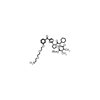 CC(C(=O)N[C@H](C(=O)N1CCC[C@H]1c1nc(C(=O)c2cccc(OCCOCCOCCN)c2)cs1)C1CCCCC1)N(C)C(=O)OC(C)(C)C